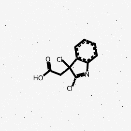 O=C(O)CC1(Cl)C(Cl)=Nc2ccccc21